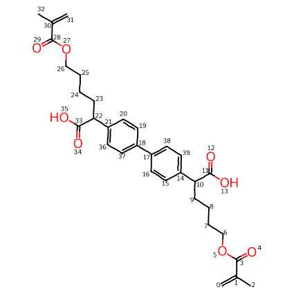 C=C(C)C(=O)OCCCCC(C(=O)O)c1ccc(-c2ccc(C(CCCCOC(=O)C(=C)C)C(=O)O)cc2)cc1